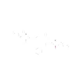 CC1(C)S[C@@H]2[C@H](N=CN3CCCCCC3)C(=O)N2[C@H]1C(=O)OC(OC(=O)[C@@H]1N2C(=O)[C@@H](N=CN3CCCCCC3)[C@H]2SC1(C)C)c1ccccc1